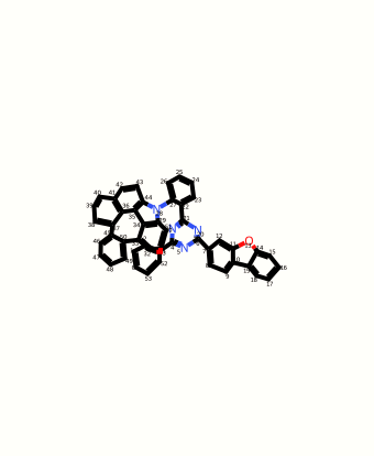 c1ccc(-c2nc(-c3ccc4c(c3)oc3ccccc34)nc(-c3ccccc3-n3c4cccc5c4c4c6c(cccc6ccc43)-c3ccccc3-5)n2)cc1